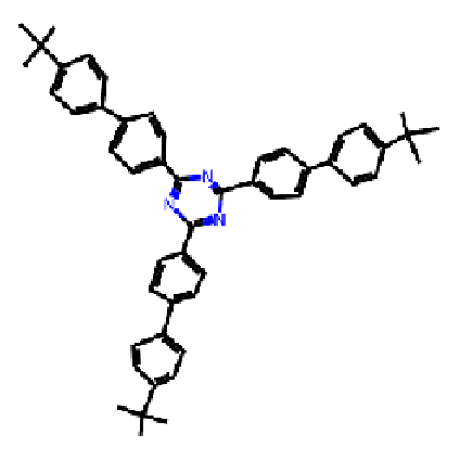 CC(C)(C)c1ccc(-c2ccc(-c3nc(-c4ccc(-c5ccc(C(C)(C)C)cc5)cc4)nc(-c4ccc(-c5ccc(C(C)(C)C)cc5)cc4)n3)cc2)cc1